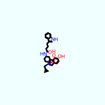 O=C(CCCc1c[nH]c2ccccc12)NC1CCC2(O)C3Cc4ccc(O)c(O)c4C2(CCN3CC2CC2)C1